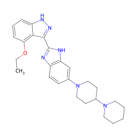 CCOc1cccc2[nH]nc(-c3nc4ccc(N5CCC(N6CCCCC6)CC5)cc4[nH]3)c12